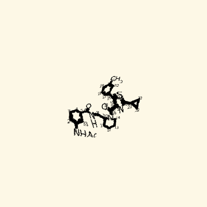 CC(=O)Nc1cccc(C(=O)NCC2CCCCN2C(=O)c2nc(C3CC3)sc2-c2cccc(C)c2)c1